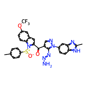 Cc1ccc([S+]([O-])n2c(C(=O)c3cnn(-c4ccc5[nH]c(C)nc5c4)c3N=NN)cc3cc(OC(F)(F)F)ccc32)cc1